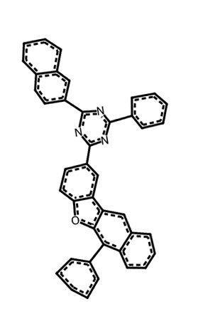 c1ccc(-c2nc(-c3ccc4ccccc4c3)nc(-c3ccc4oc5c(-c6ccccc6)c6ccccc6cc5c4c3)n2)cc1